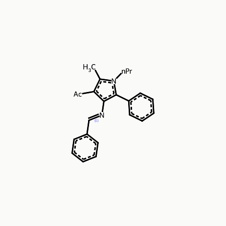 CCCn1c(C)c(C(C)=O)c(/N=C/c2ccccc2)c1-c1ccccc1